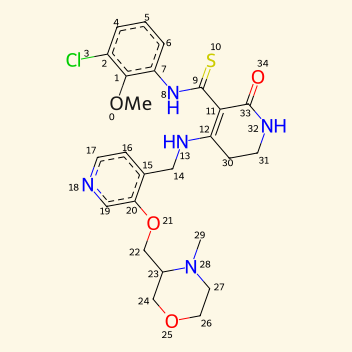 COc1c(Cl)cccc1NC(=S)C1=C(NCc2ccncc2OCC2COCCN2C)CCNC1=O